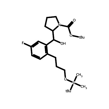 CC(C)(C)OC(=O)N1CCCC1C(O)c1cc(F)ccc1CCCO[Si](C)(C)C(C)(C)C